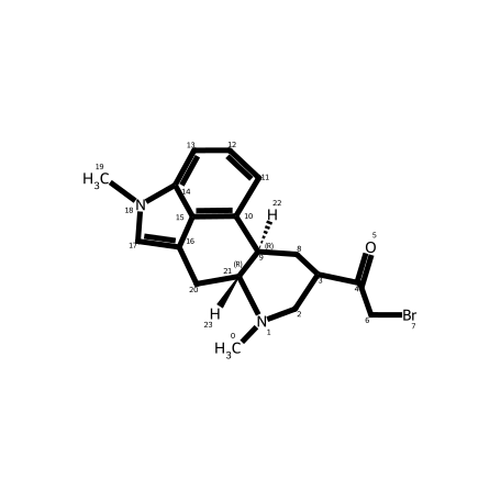 CN1CC(C(=O)CBr)C[C@@H]2c3cccc4c3c(cn4C)C[C@H]21